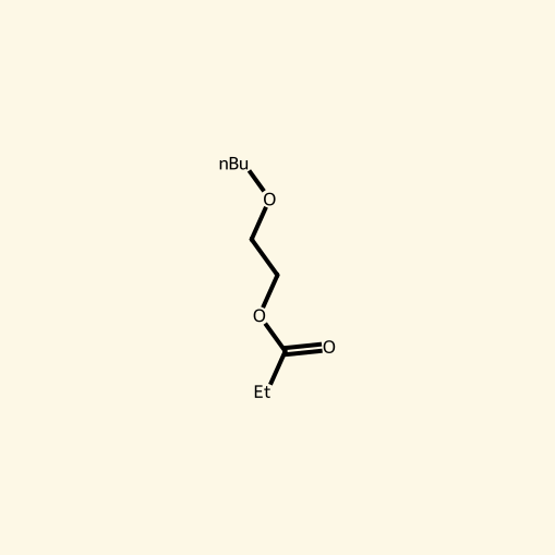 CCCCOCCOC(=O)CC